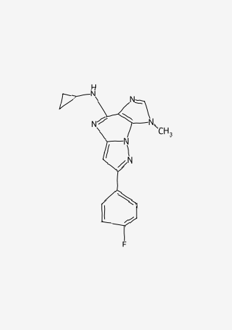 Cn1cnc2c(NC3CC3)nc3cc(-c4ccc(F)cc4)nn3c21